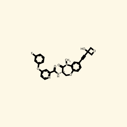 CN1C(=O)[C@@H](NC(=O)c2cc(Oc3cccc(F)c3)ccn2)COc2ccc(C#CC3(O)COC3)cc21